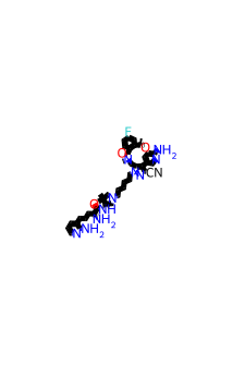 C[C@H]1Oc2cc(cnc2N)-c2c(C#N)nn(CCCCCCN3C[C@H](NC(=O)[C@@H](N)CCCc4cccnc4N)C(C)(C)C3)c2CN(C)C(=O)c2ccc(F)cc21